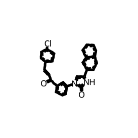 O=C(C=Cc1ccc(Cl)cc1)c1cccc(-n2cc(-c3ccc4ccccc4c3)[nH]c2=O)c1